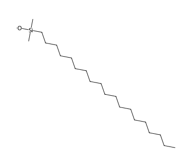 CCCCCCCCCCCCCCCCCCC[Si](C)(C)[O]